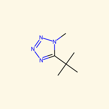 Cn1nnnc1C(C)(C)C